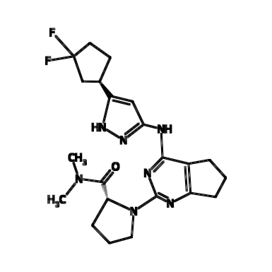 CN(C)C(=O)[C@H]1CCCN1c1nc2c(c(Nc3cc([C@@H]4CCC(F)(F)C4)[nH]n3)n1)CCC2